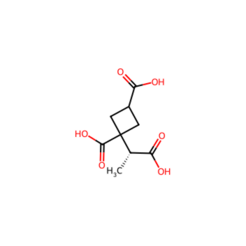 C[C@@H](C(=O)O)C1(C(=O)O)CC(C(=O)O)C1